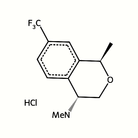 CN[C@H]1CO[C@H](C)c2cc(C(F)(F)F)ccc21.Cl